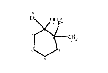 CCC1(C)CCCCC1(O)CC